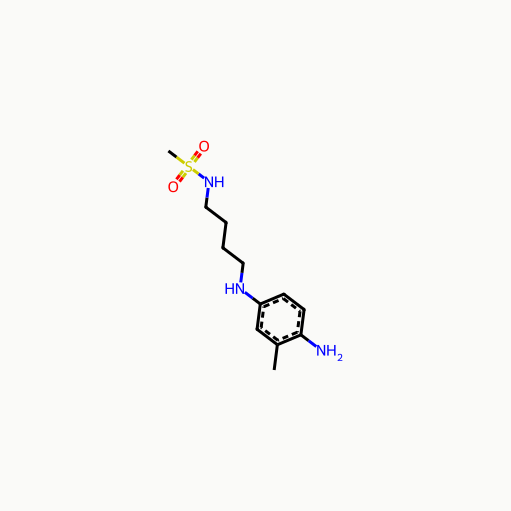 Cc1cc(NCCCCNS(C)(=O)=O)ccc1N